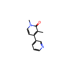 Cc1c(-c2cccnc2)ccn(C)c1=O